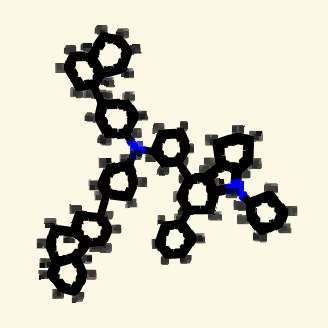 c1ccc(-c2cc(-c3cccc(N(c4ccc(-c5ccc6c(ccc7ccccc76)c5)cc4)c4ccc(-c5cccc6ccccc56)cc4)c3)c3c4ccccc4n(-c4ccccc4)c3c2)cc1